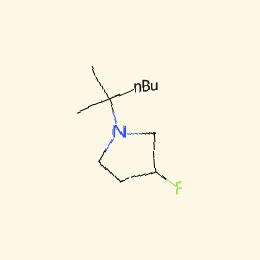 CCCCC(C)(C)N1CCC(F)C1